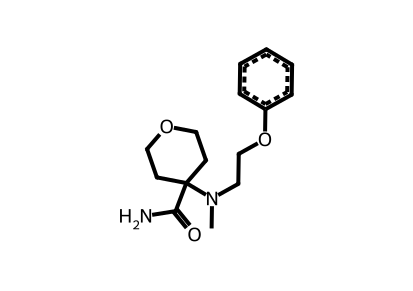 CN(CCOc1ccccc1)C1(C(N)=O)CCOCC1